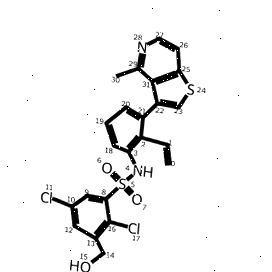 C=Cc1c(NS(=O)(=O)c2cc(Cl)cc(CO)c2Cl)cccc1-c1csc2ccnc(C)c12